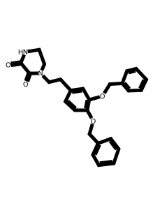 O=C1NCCN(CCc2ccc(OCc3ccccc3)c(OCc3ccccc3)c2)C1=O